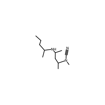 CCCC(C)NC(C)CC(C)N(C)C#N